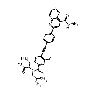 CC(C)CN(C(=O)c1ccc(C#Cc2ccc(-c3cc(C(=O)NN)c4cnccc4n3)cc2)c(Cl)c1)C(CN)C(=O)O